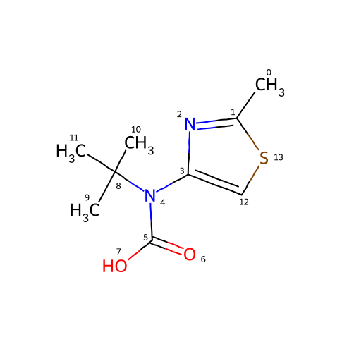 Cc1nc(N(C(=O)O)C(C)(C)C)cs1